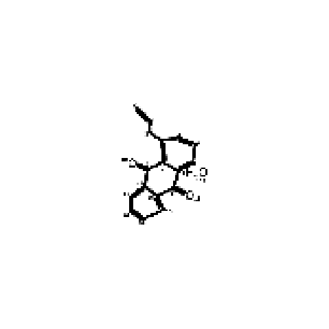 C=CCc1cccc2c1C(=O)c1ccccc1C2=O.O